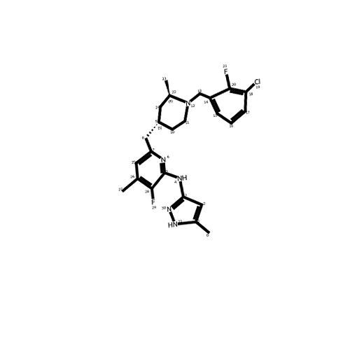 Cc1cc(Nc2nc(C[C@H]3CCN(Cc4cccc(Cl)c4F)[C@H](C)C3)cc(C)c2F)n[nH]1